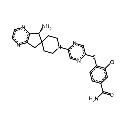 NC(=O)c1ccc(Sc2cnc(N3CCC4(CC3)Cc3nccnc3[C@H]4N)cn2)c(Cl)c1